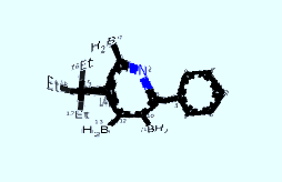 Bc1nc(-c2ccccc2)c(B)c(B)c1C(CC)(CC)CC